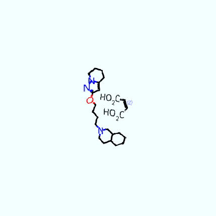 O=C(O)/C=C\C(=O)O.c1c(OCCCCN2CCC3CCCCC3C2)nn2c1CCCC2